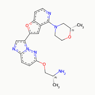 C[C@@H](N)COc1ccc2ncc(-c3cc4c(N5CCO[C@@H](C)C5)nccc4o3)n2n1